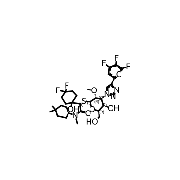 CO[C@@H]1[C@@H](n2cc(-c3cc(F)c(F)c(F)c3)nn2)[C@@H](O)[C@@H](CO)O[C@H]1S[C@H](C(=O)N(C)C1CCC(C)(C)CC1)C1(O)CCC(F)(F)CC1